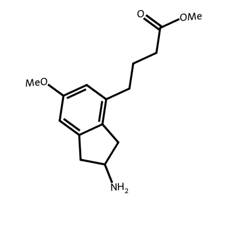 COC(=O)CCCc1cc(OC)cc2c1CC(N)C2